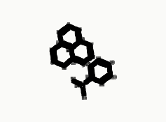 C1=Cc2cccc3cccc(c23)C1.CN(C)c1ccccc1